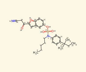 CCCCCN(c1ccc(C(C)(C)CC)cc1)S(=O)(=O)Oc1ccc2oc(C(=O)CC#N)cc2c1